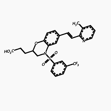 Cc1cccnc1C=Cc1ccc2c(c1)N(S(=O)(=O)c1cccc(C(F)(F)F)c1)CC(CCC(=O)O)O2